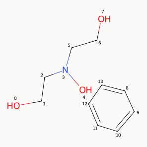 OCCN(O)CCO.c1ccccc1